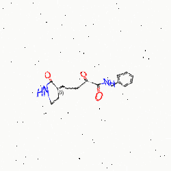 O=C(CC[C@H]1CCNC1=O)C(=O)NCc1ccccc1